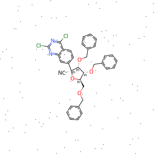 N#C[C@@]1(c2ccc3c(Cl)nc(Cl)nc3c2)O[C@H](COCc2ccccc2)[C@@H](OCc2ccccc2)[C@H]1OCc1ccccc1